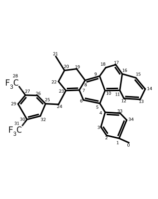 Cc1ccc(-c2cc3c(c4c2=c2ccccc2=CC4)CC(C)CC=3Cc2cc(C(F)(F)F)cc(C(F)(F)F)c2)cc1